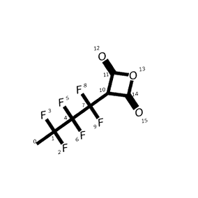 CC(F)(F)C(F)(F)C(F)(F)C1C(=O)OC1=O